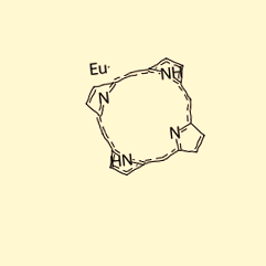 C1=Cc2cc3ccc(cc4nc(cc5ccc(cc1n2)[nH]5)C=C4)[nH]3.[Eu]